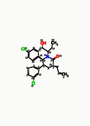 C=CC[C@H]1CC(c2cccc(Cl)c2)[C@@H](c2ccc(Cl)cc2)N(C(CC)CO)C1=O